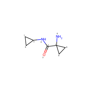 NC1(C(=O)NC2CC2)CC1